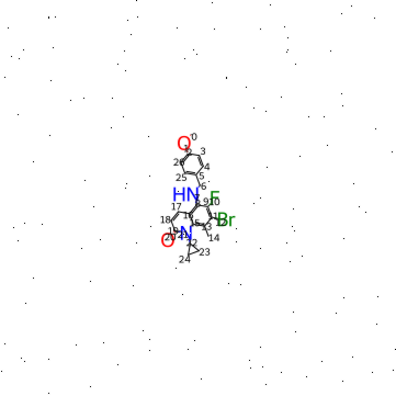 COc1ccc(CNc2c(F)c(Br)c(C)c3c2ccc(=O)n3C2CC2)cc1